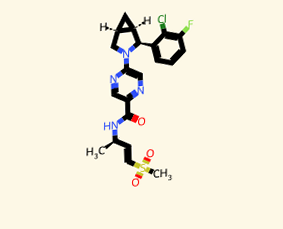 C[C@H](/C=C/S(C)(=O)=O)NC(=O)c1cnc(N2C[C@H]3C[C@H]3[C@H]2c2cccc(F)c2Cl)cn1